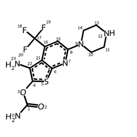 NC(=O)Oc1sc2nc(N3CCNCC3)cc(C(F)(F)F)c2c1N